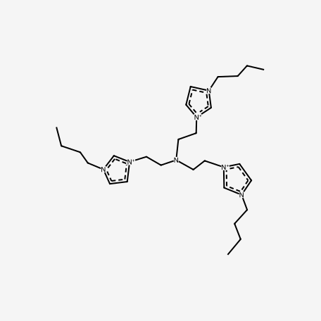 CCCCn1cc[n+](CCN(CC[n+]2ccn(CCCC)c2)CC[n+]2ccn(CCCC)c2)c1